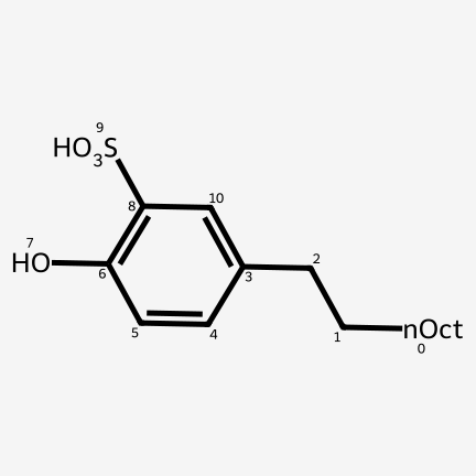 CCCCCCCCCCc1ccc(O)c(S(=O)(=O)O)c1